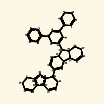 C1=CC(C2=CC(c3ccccc3)CC(N3C4C=CC(C5CC=Cc6c5sc5c6C=CCC5)=CC4C4C=CCCC43)=C2)=CCC1